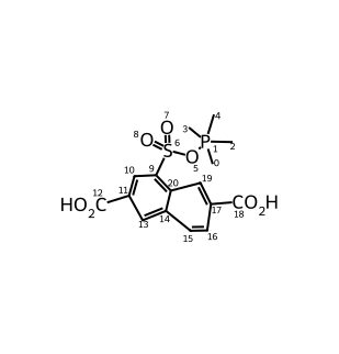 CP(C)(C)(C)OS(=O)(=O)c1cc(C(=O)O)cc2ccc(C(=O)O)cc12